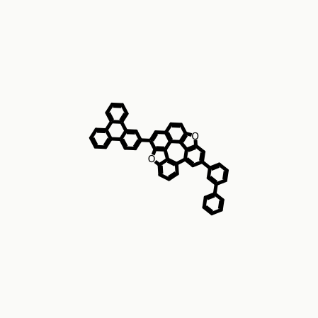 c1ccc(-c2cccc(-c3cc4c5c(c3)oc3ccc6cc(-c7ccc8c9ccccc9c9ccccc9c8c7)c7oc8cccc-4c8c7c6c35)c2)cc1